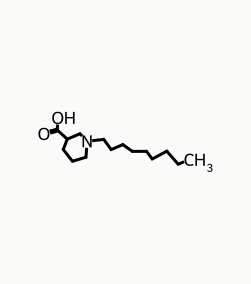 CCCCCCCCCN1CCCC(C(=O)O)C1